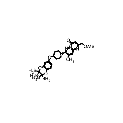 BC1(B)Oc2ccc(OC3CCN(c4nn5c(=O)cc(COC)nc5cc4C)CC3)cc2OC1(B)B